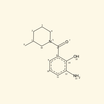 CC1CCCN(C(=O)c2cccc(N)c2O)C1